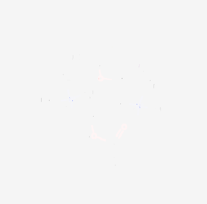 CC(=S)OCC[N+](C)(C)C.CCCC(=O)OCC[N+](C)(C)C.I